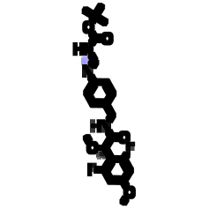 COc1cc(F)c([C@@H](OC)C(=O)NCc2ccc(/N=C/NC(=O)OC(C)(C)C)cc2)c(F)c1